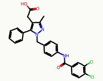 Cc1nn(Cc2ccc(NC(=O)c3ccc(Cl)c(Cl)c3)cc2)c(-c2ccccc2)c1CC(=O)O